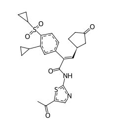 CC(=O)c1cnc(NC(=O)/C(=C/[C@H]2CCC(=O)C2)c2ccc(S(=O)(=O)C3CC3)c(C3CC3)c2)s1